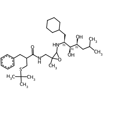 CC(C)C[C@H](O)[C@@H](O)[C@H](CC1CCCCC1)NC1OC1(C)CNC(=O)C(CSC(C)(C)C)Cc1ccccc1